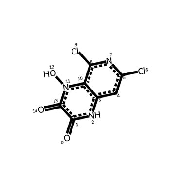 O=c1[nH]c2cc(Cl)nc(Cl)c2n(O)c1=O